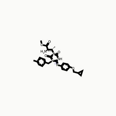 COC(=O)[C@H](N)[C@H](C)n1c(=O)[nH]/c(=N\c2ccc(OCC3CC3)cc2)n(Cc2ccc(C)cc2)c1=O